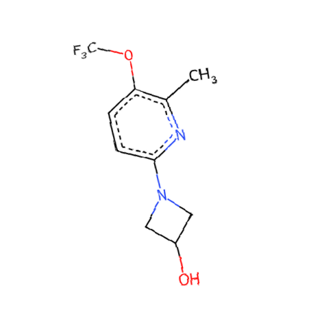 Cc1nc(N2CC(O)C2)ccc1OC(F)(F)F